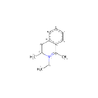 CC[N+]1=C(C)c2ccccc2CC1C